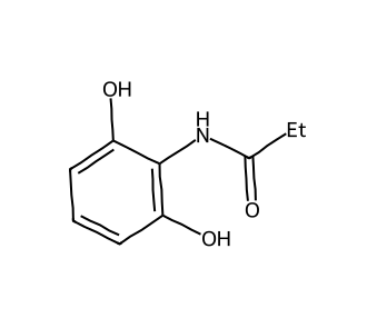 CCC(=O)Nc1c(O)cccc1O